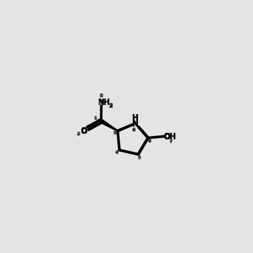 NC(=O)[C@@H]1CCC(O)N1